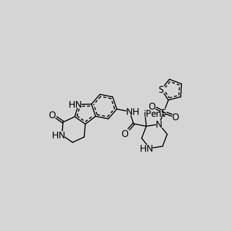 CCCC(C)C1(C(=O)Nc2ccc3[nH]c4c(c3c2)CCNC4=O)CNCCN1S(=O)(=O)c1cccs1